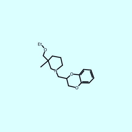 CCOCC1(C)CCCN(CC2COc3ccccc3O2)C1